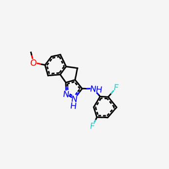 COc1ccc2c(c1)-c1n[nH]c(Nc3cc(F)ccc3F)c1C2